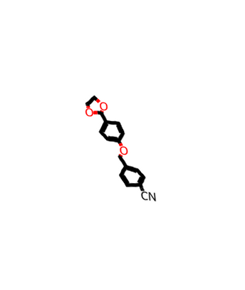 N#Cc1ccc(COc2ccc(C3OCCO3)cc2)cc1